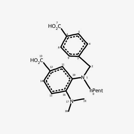 CCCCCN(Cc1ccc(C(=O)O)cc1)c1cc(C(=O)O)ccc1N(C)C